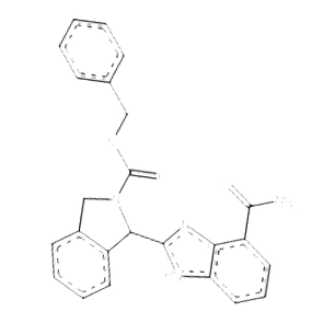 NC(=O)c1cccc2[nH]c(C3c4ccccc4CN3C(=O)OCc3ccccc3)nc12